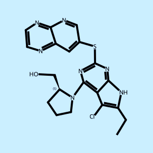 CCc1[nH]c2nc(Sc3cnc4nccnc4c3)nc(N3CCC[C@H]3CO)c2c1Cl